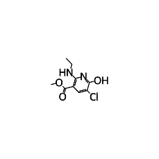 CCNc1nc(O)c(Cl)cc1C(=O)OC